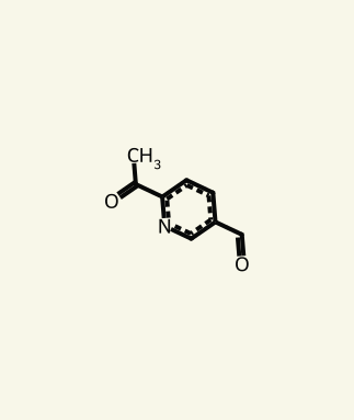 CC(=O)c1ccc(C=O)cn1